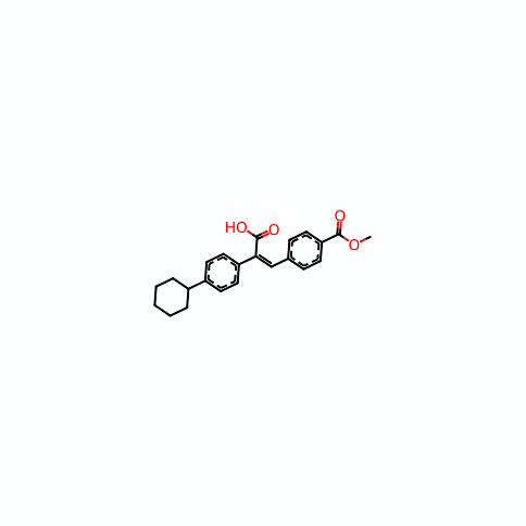 COC(=O)c1ccc(C=C(C(=O)O)c2ccc(C3CCCCC3)cc2)cc1